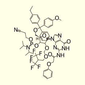 CCc1ccc(C(OC[C@H]2O[C@@H](n3cnc4c(=O)[nH]c(NC(=O)COc5ccccc5)nc43)C(OCOCC(C(F)(F)F)C(F)(F)F)C2OP(OCCC#N)N(C(C)C)C(C)C)(c2ccccc2)c2ccc(OC)cc2)cc1